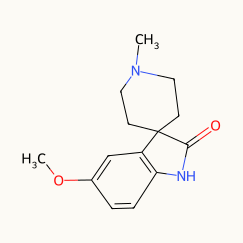 COc1ccc2c(c1)C1(CCN(C)CC1)C(=O)N2